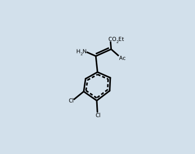 CCOC(=O)C(C(C)=O)=C(N)c1ccc(Cl)c(Cl)c1